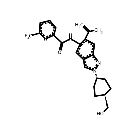 C=C(C)c1cc2nn([C@H]3CC[C@H](CO)CC3)cc2cc1NC(=O)c1cccc(C(F)(F)F)n1